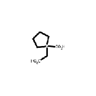 O=C(O)CS1(C(=O)O)CCCC1